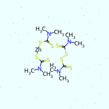 CN(C)C(=S)SSC(=S)N(C)C.CN(C)C(=S)[S][Zn][S]C(=S)N(C)C